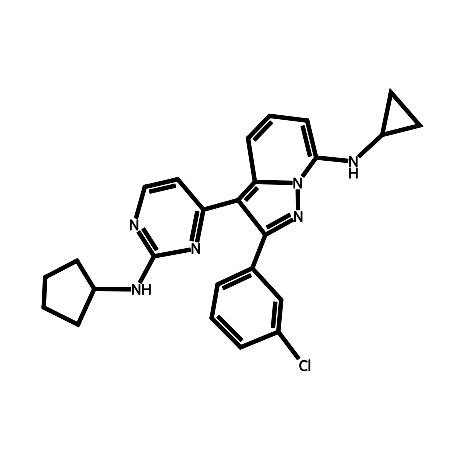 Clc1cccc(-c2nn3c(NC4CC4)cccc3c2-c2ccnc(NC3CCCC3)n2)c1